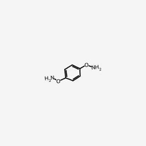 NOc1ccc(ON)cc1